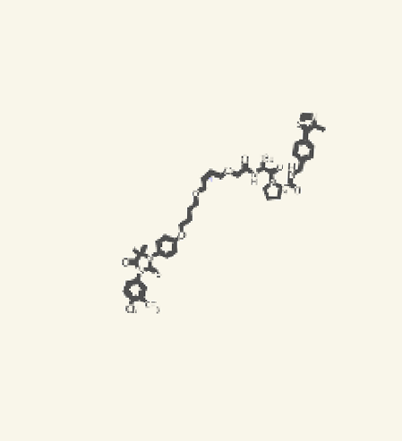 Cc1ncsc1-c1ccc(CNC(=O)[C@@H]2CCCN2C(=O)C(NC(=O)COC/C=C\COCCCCOc2ccc(N3C(=S)N(c4ccc(C#N)c(C(F)(F)F)c4)C(=O)C3(C)C)cc2)C(C)(C)C)cc1